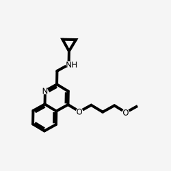 COCCCOc1cc(CNC2CC2)nc2ccccc12